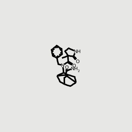 CC1(C(=O)N(Cc2ccccc2)C2C3CC4CC(C3)C(C(N)=O)C2C4)CCNC1=O